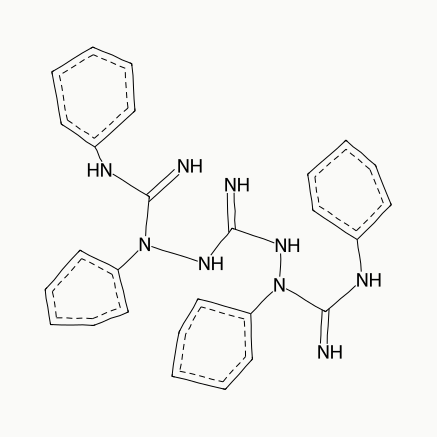 N=C(NN(C(=N)Nc1ccccc1)c1ccccc1)NN(C(=N)Nc1ccccc1)c1ccccc1